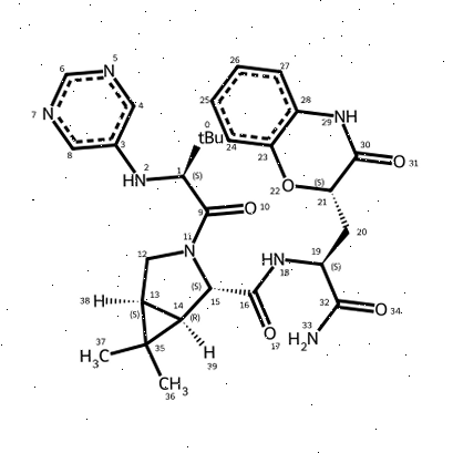 CC(C)(C)[C@H](Nc1cncnc1)C(=O)N1C[C@H]2[C@@H]([C@H]1C(=O)N[C@@H](C[C@@H]1Oc3ccccc3NC1=O)C(N)=O)C2(C)C